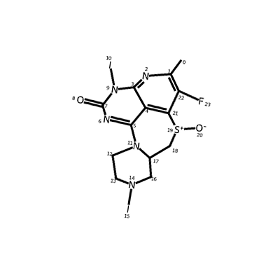 Cc1nc2c3c(nc(=O)n2I)N2CCN(I)CC2C[S+]([O-])c3c1F